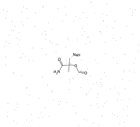 CC(C)(OC=O)C(N)=O.[NaH]